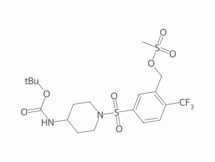 CC(C)(C)OC(=O)NC1CCN(S(=O)(=O)c2ccc(C(F)(F)F)c(COS(C)(=O)=O)c2)CC1